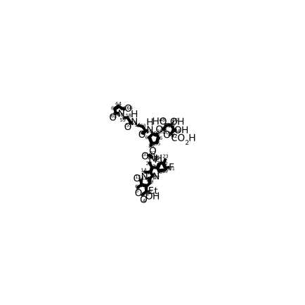 CC[C@@]1(O)C(=O)OCc2c1cc1n(c2=O)Cc2c-1nc1cc(F)c(C)c(F)c1c2CNC(=O)OCc1ccc(O[C@@H]2O[C@H](C(=O)O)[C@@H](O)[C@H](O)[C@H]2O)c(NC(=O)CCNC(=O)CCN2C(=O)C=CC2=O)c1